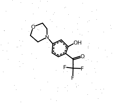 O=C(c1ccc(N2CCOCC2)cc1O)C(F)(F)F